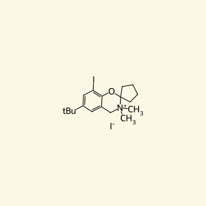 CC(C)(C)c1cc(I)c2c(c1)C[N+](C)(C)C1(CCCC1)O2.[I-]